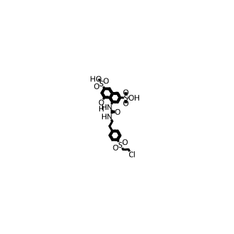 O=C(NCCc1ccc(S(=O)(=O)CCCl)cc1)Nc1cc(S(=O)(=O)O)cc2cc(S(=O)(=O)O)cc(O)c12